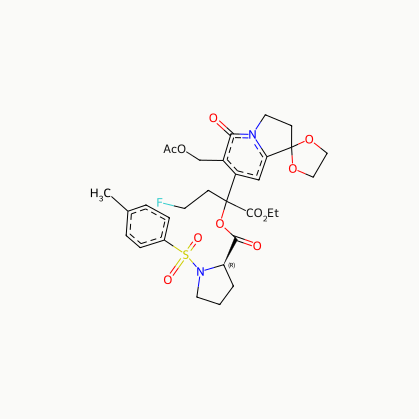 CCOC(=O)C(CCF)(OC(=O)[C@H]1CCCN1S(=O)(=O)c1ccc(C)cc1)c1cc2n(c(=O)c1COC(C)=O)CCC21OCCO1